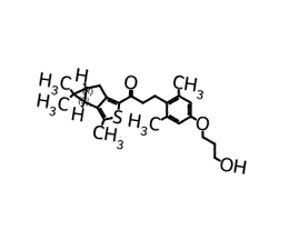 Cc1cc(OCCCO)cc(C)c1CCC(=O)c1sc(C)c2c1C[C@@H]1[C@H]2C1(C)C